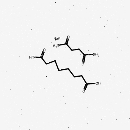 NC(=O)CCC(N)=O.O=C(O)CCCCCCC(=O)O.[NaH]